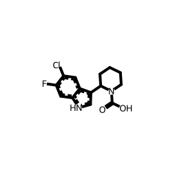 O=C(O)N1CCCCC1c1c[nH]c2cc(F)c(Cl)cc12